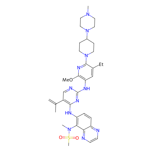 C=C(C)c1cnc(Nc2cc(CC)c(N3CCC(N4CCN(C)CC4)CC3)nc2OC)nc1Nc1ccc2nccnc2c1N(C)S(C)(=O)=O